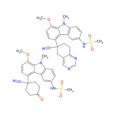 COc1ccc(C2(C#N)CCC(=O)CC2)c2c3cc(NS(C)(=O)=O)ccc3n(C)c12.COc1ccc(C2(C#N)CCc3ncncc3C2)c2c3cc(NS(C)(=O)=O)ccc3n(C)c12